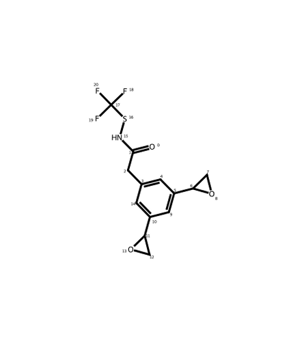 O=C(Cc1cc(C2CO2)cc(C2CO2)c1)NSC(F)(F)F